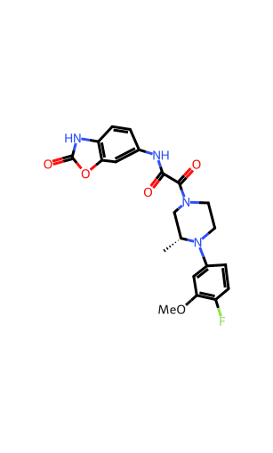 COc1cc(N2CCN(C(=O)C(=O)Nc3ccc4[nH]c(=O)oc4c3)C[C@H]2C)ccc1F